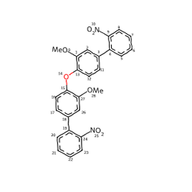 COc1cc(-c2ccccc2[N+](=O)[O-])ccc1Oc1ccc(-c2ccccc2[N+](=O)[O-])cc1OC